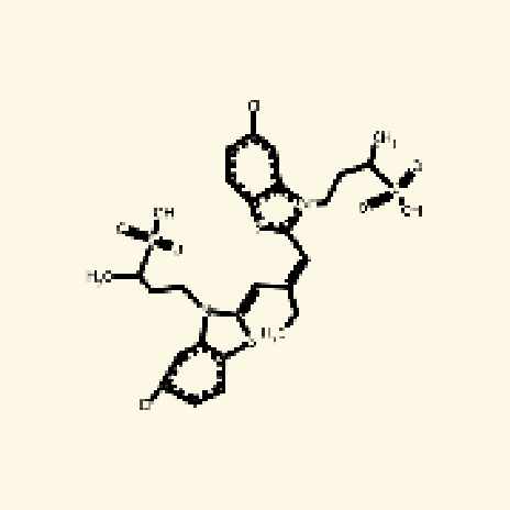 CCC(=Cc1sc2ccc(Cl)cc2[n+]1CCC(C)S(=O)(=O)O)C=C1Sc2ccc(Cl)cc2N1CCC(C)S(=O)(=O)O